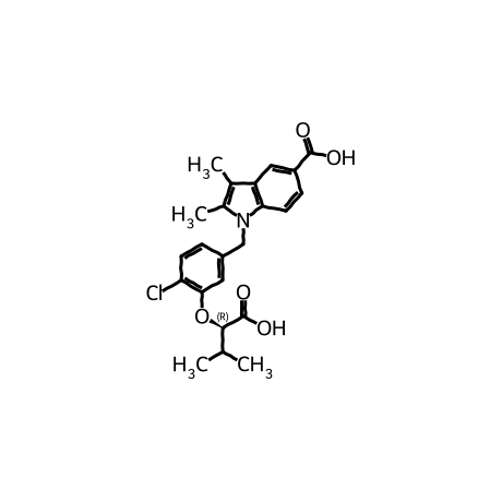 Cc1c(C)n(Cc2ccc(Cl)c(O[C@@H](C(=O)O)C(C)C)c2)c2ccc(C(=O)O)cc12